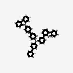 c1ccc(-c2ccc(N(c3ccc(-c4ccc(-n5c6ccccc6c6ccccc65)cc4)cc3)c3cccc(-c4cccc5c4oc4ccccc45)c3)cc2)cc1